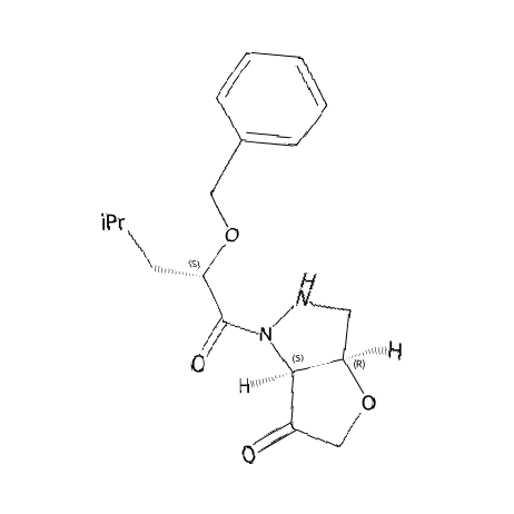 CC(C)C[C@H](OCc1ccccc1)C(=O)N1NC[C@H]2OCC(=O)[C@H]21